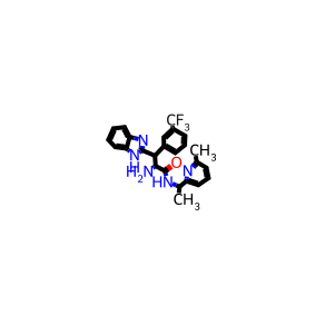 Cc1cccc(C(C)NC(=O)C(N)C(c2cccc(C(F)(F)F)c2)c2nc3ccccc3[nH]2)n1